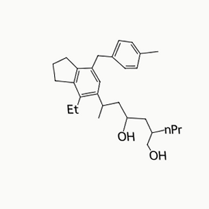 CCCC(CO)CC(O)CC(C)c1cc(Cc2ccc(C)cc2)c2c(c1CC)CCC2